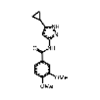 COc1ccc(C(=O)Nc2cc(C3CC3)[nH]n2)cc1OC